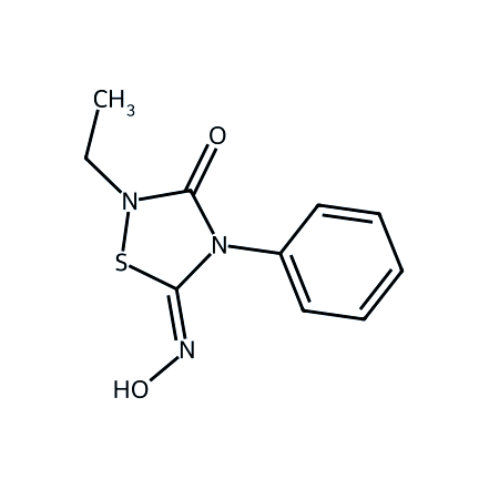 CCn1sc(=NO)n(-c2ccccc2)c1=O